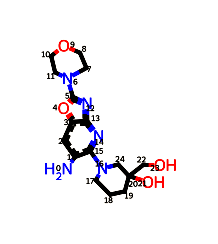 Nc1cc2oc(N3CCOCC3)nc2nc1N1CCCC(O)(CO)C1